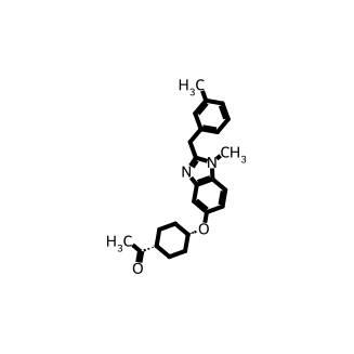 Cc1cccc(Cc2nc3cc(O[C@H]4CC[C@@H](C(C)=O)CC4)ccc3n2C)c1